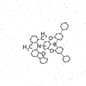 Cc1cccc(C)c1N(c1cc2c3c(c1)Oc1cc(-c4ccccc4)ccc1B3c1ccc(-c3ccccc3)cc1O2)c1cccc2c1oc1ccccc12